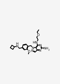 CCOCCNc1nc(N)nc2cnn(Cc3ccc(CNC4CCC4)cc3OC)c12